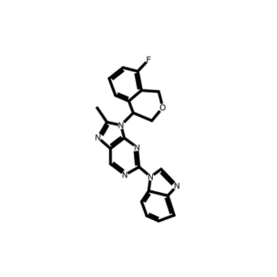 Cc1nc2cnc(-n3cnc4ccccc43)nc2n1C1COCc2c(F)cccc21